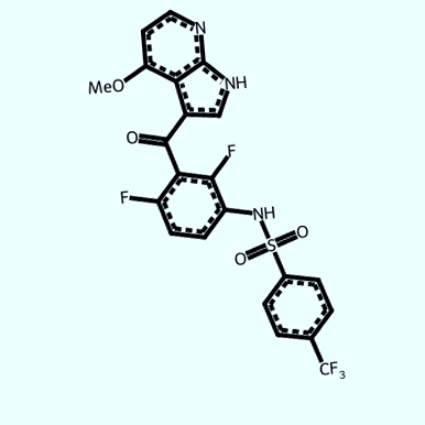 COc1ccnc2[nH]cc(C(=O)c3c(F)ccc(NS(=O)(=O)c4ccc(C(F)(F)F)cc4)c3F)c12